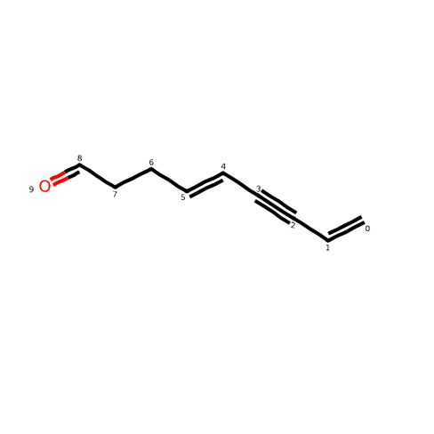 C=CC#CC=CCCC=O